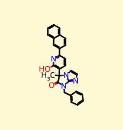 CC1(c2ccc(-c3ccc4ccccc4c3)nc2O)C(=O)N(Cc2ccccc2)c2nccn21